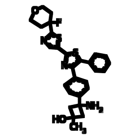 CC1(O)CC(N)(c2ccc(-c3nc(-c4cnc(C5(F)CCOCC5)s4)sc3-c3ccccc3)cc2)C1